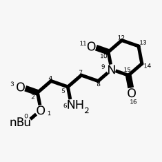 CCCCOC(=O)CC(N)CCN1C(=O)CCCC1=O